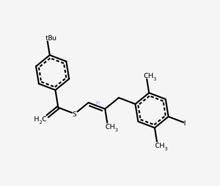 C=C(S/C=C(\C)Cc1cc(C)c(I)cc1C)c1ccc(C(C)(C)C)cc1